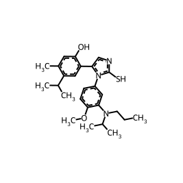 CCCN(c1cc(-n2c(-c3cc(C(C)C)c(C)cc3O)cnc2S)ccc1OC)C(C)C